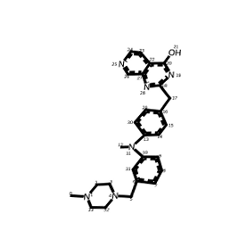 CN1CCN(Cc2cccc(N(C)c3ccc(Cc4nc(O)c5ccncc5n4)cc3)c2)CC1